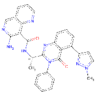 C[C@H](NC(=O)c1c(N)ncc2cccnc12)c1nc2cccc(-c3ccn(C)n3)c2c(=O)n1-c1ccccc1